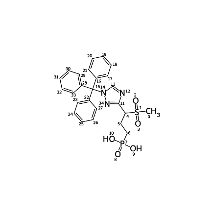 CS(=O)(=O)C(CCP(=O)(O)O)c1ncn(C(c2ccccc2)(c2ccccc2)c2ccccc2)n1